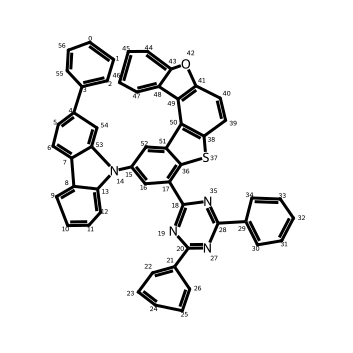 c1ccc(-c2ccc3c4ccccc4n(-c4cc(-c5nc(-c6ccccc6)nc(-c6ccccc6)n5)c5sc6ccc7oc8ccccc8c7c6c5c4)c3c2)cc1